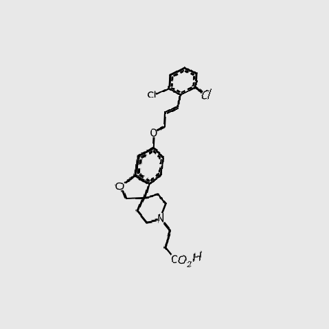 O=C(O)CCN1CCC2(CC1)COc1cc(OCC=Cc3c(Cl)cccc3Cl)ccc12